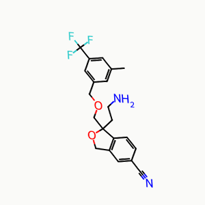 Cc1cc(COCC2(CCN)OCc3cc(C#N)ccc32)cc(C(F)(F)F)c1